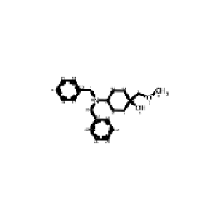 COCC1(O)CCC(N(Cc2ccccc2)Cc2ccccc2)CC1